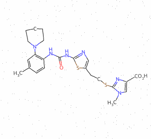 Cc1ccc(NC(=O)Nc2ncc(CCSc3nc(C(=O)O)cn3C)s2)c(N2CCCCC2)c1